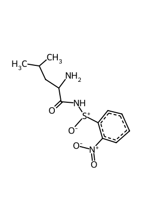 CC(C)CC(N)C(=O)N[S+]([O-])c1ccccc1[N+](=O)[O-]